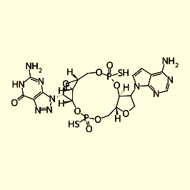 Nc1nc2c(nnn2[C@@H]2O[C@@H]3COP(=O)(S)O[C@H]4C(n5ccc6c(N)ncnc65)CO[C@@H]4COP(=O)(S)O[C@H]2[C@@H]3F)c(=O)[nH]1